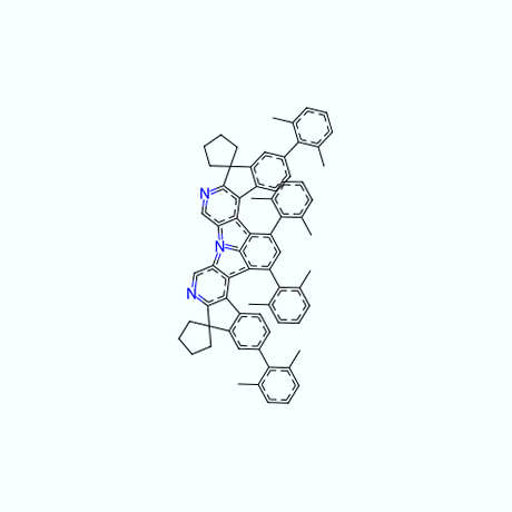 Cc1cccc(C)c1-c1ccc2c(c1)C1(CCCC1)c1ncc3c(c1-2)c1c(-c2c(C)cccc2C)cc(-c2c(C)cccc2C)c2c4c5c(ncc4n3c12)C1(CCCC1)c1cc(-c2c(C)cccc2C)ccc1-5